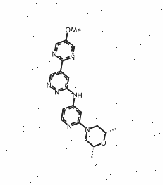 COc1cnc(-c2cnnc(Nc3ccnc(N4C[C@@H](C)O[C@@H](C)C4)c3)c2)nc1